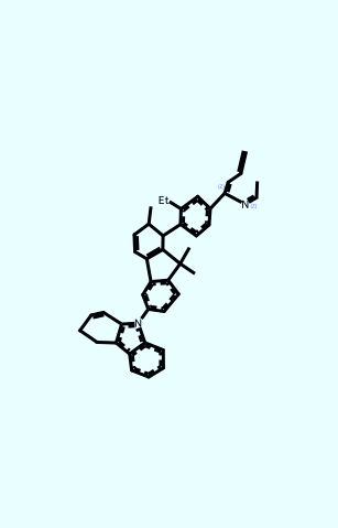 C=C/C=C(\N=C/C)c1ccc(C2C3=C(C=CC2C)c2cc(-n4c5c(c6ccccc64)CCC=C5)ccc2C3(C)C)c(CC)c1